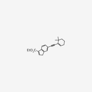 CCOC(=O)C1=CCc2cc(C#CC3=CCCCC3(C)C)ccc21